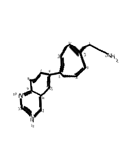 NCc1ccc(-c2ccc3ncncc3c2)cc1